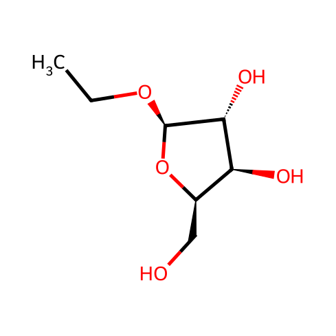 CCO[C@@H]1O[C@H](CO)[C@H](O)[C@H]1O